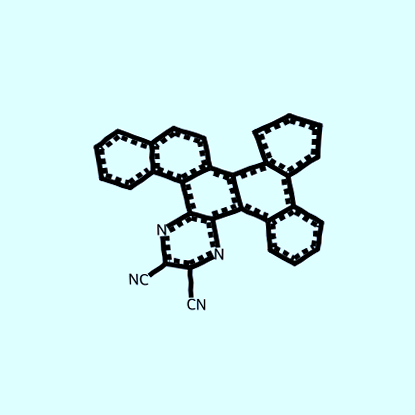 N#Cc1nc2c(nc1C#N)c1c3ccccc3c3ccccc3c1c1ccc3ccccc3c12